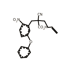 C=CCCC(C#N)(Cc1cc(Oc2ccccc2)ccc1[N+](=O)[O-])C(=O)O